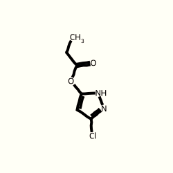 CCC(=O)Oc1cc(Cl)n[nH]1